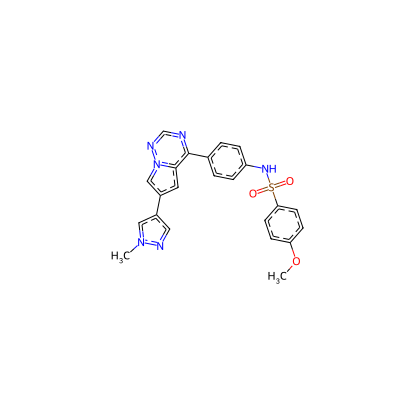 COc1ccc(S(=O)(=O)Nc2ccc(-c3ncnn4cc(-c5cnn(C)c5)cc34)cc2)cc1